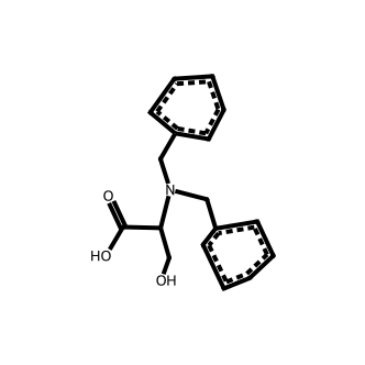 O=C(O)C(CO)N(Cc1ccccc1)Cc1ccccc1